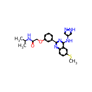 CSc1ccc2nc(-c3cccc(OCC(=O)NC(C)C)c3)nc(Nc3cn[nH]c3)c2c1